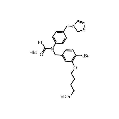 Br.CCCCCCCCCCCCCCOc1cc(CN(C(=O)CC)c2ccc(CN3C=CSC3)cc2)ccc1C(C)(C)C